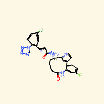 O=C(/C=C/c1cc(Cl)ccc1-n1cnnn1)N[C@H]1CCCCC(=O)Nc2cc(F)ccc2-c2ccnc1c2